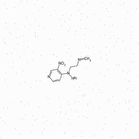 C=NCCN(CCC)c1ccncc1[N+](=O)[O-]